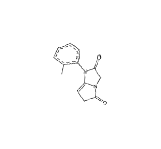 Cc1ccccc1N1C(=O)CN2C(=O)CC=C21